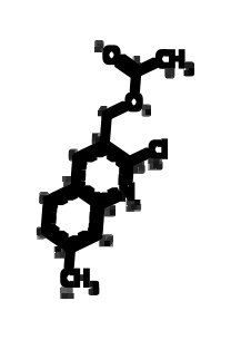 CC(=O)OCc1cc2ccc(C)cc2nc1Cl